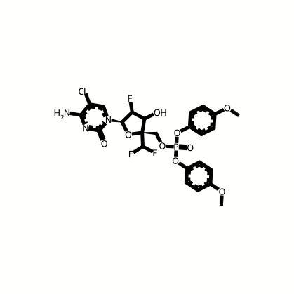 COc1ccc(OP(=O)(OC[C@@]2(C(F)F)O[C@@H](n3cc(Cl)c(N)nc3=O)C(F)C2O)Oc2ccc(OC)cc2)cc1